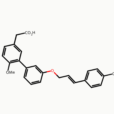 COc1ccc(CC(=O)O)cc1-c1cccc(OC/C=C/c2ccc(C(F)(F)F)cc2)c1